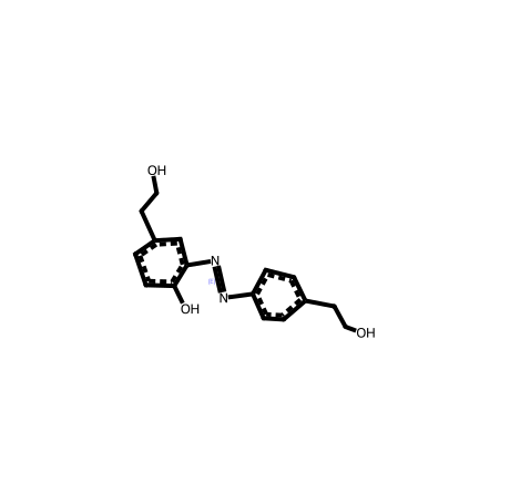 OCCc1ccc(/N=N/c2cc(CCO)ccc2O)cc1